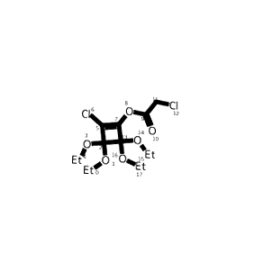 CCOC1(OCC)C(Cl)=C(OC(=O)CCl)C1(OCC)OCC